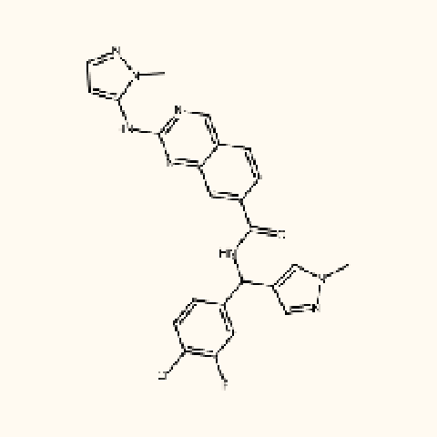 Cn1cc(C(NC(=O)c2ccc3cnc(Nc4ccnn4C)nc3c2)c2ccc(Cl)c(F)c2)cn1